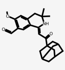 COc1cc2c(cc1C=O)C(=CC(=O)C13CC4CC(CC(C4)C1)C3)NC(C)(C)C2